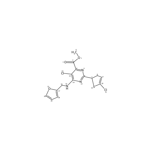 COC(=O)c1nc(C2CC=C(Cl)S2)nc(NCc2ccco2)c1Cl